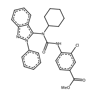 COC(=O)c1ccc(NC(=O)N(c2c3ccccc3nn2-c2ccccc2)C2CCCCC2)c(Cl)c1